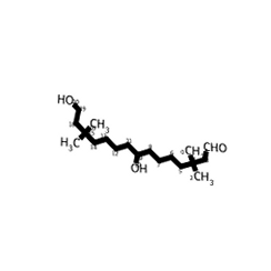 CC(C)(CC=O)CCCCC(O)CCCCC(C)(C)CCO